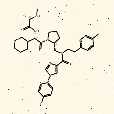 CN[C@@H](C)C(=O)N[C@H](C(=O)N1CCC[C@H]1CN(CCc1ccc(F)cc1)C(=O)c1cn(-c2ccc(F)cc2)cn1)C1CCCCC1